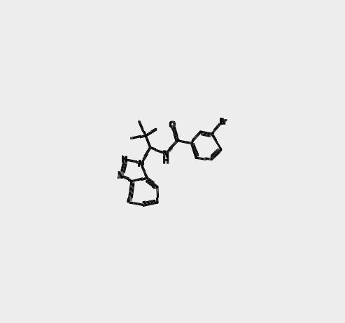 CC(C)(C)C(NC(=O)c1cccc(Br)c1)n1nnc2ccccc21